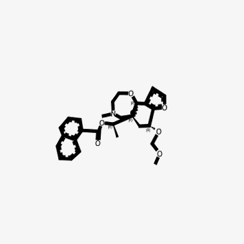 COCO[C@@H]1C[C@@]23CN(C)CCO[C@@]2(CC=C3[C@@H](C)OC(=O)c2cccc3ccccc23)c2ccoc21